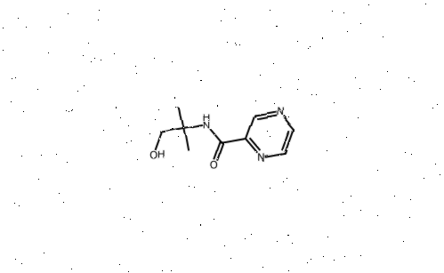 CC(C)(CO)NC(=O)c1cnccn1